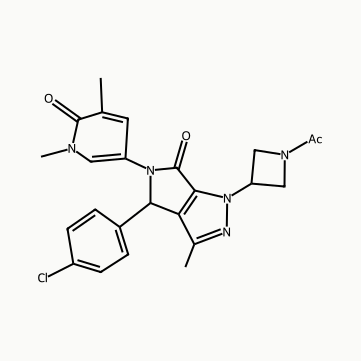 CC(=O)N1CC(n2nc(C)c3c2C(=O)N(c2cc(C)c(=O)n(C)c2)C3c2ccc(Cl)cc2)C1